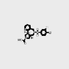 O=C(O)N1C[C@H]2CN(S(=O)(=O)c3ccc(Cl)c(Cl)c3)Cc3cccnc3[C@@H]2C1